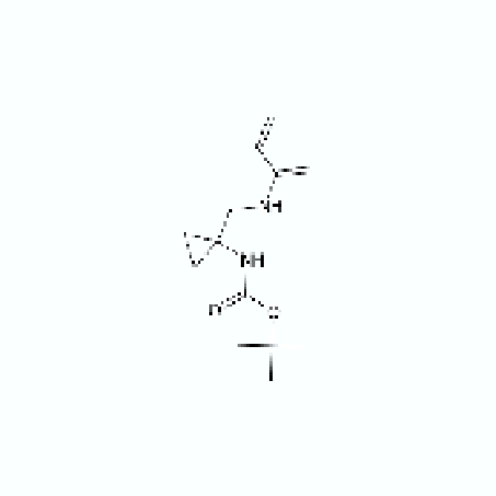 C=CC(=C)NCC1(NC(=O)OC(C)(C)C)CC1